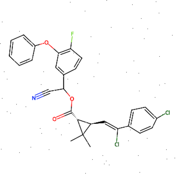 CC1(C)[C@H](/C=C(\Cl)c2ccc(Cl)cc2)[C@H]1C(=O)OC(C#N)c1ccc(F)c(Oc2ccccc2)c1